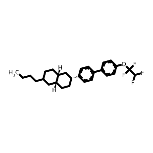 CCCCC1CC[C@@H]2C[C@H](c3ccc(-c4ccc(OC(F)(F)C(F)F)cc4)cc3)CC[C@@H]2C1